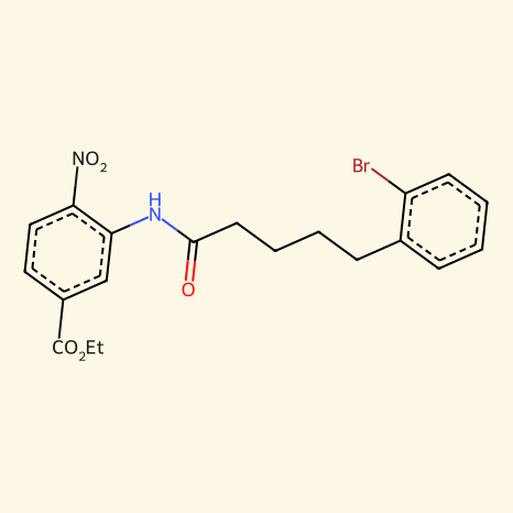 CCOC(=O)c1ccc([N+](=O)[O-])c(NC(=O)CCCCc2ccccc2Br)c1